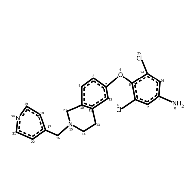 Nc1cc(Cl)c(Oc2ccc3c(c2)CCN(Cc2ccncc2)C3)c(Cl)c1